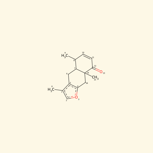 Cc1coc2c1CC1C(C)C=CC(=O)C1(C)C2